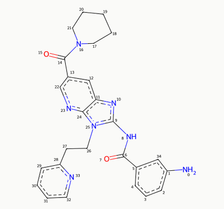 Nc1cccc(C(=O)Nc2nc3cc(C(=O)N4CCCCC4)cnc3n2CCc2ccccn2)c1